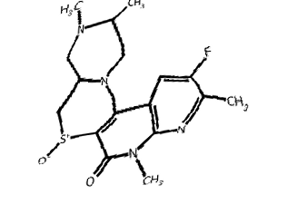 Cc1nc2c(cc1F)c1c(c(=O)n2C)[S+]([O-])CC2CN(C)C(C)CN12